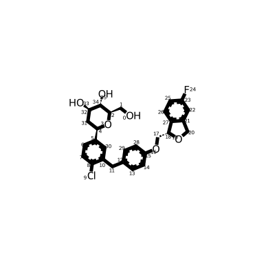 OC[C@H]1O[C@@H](c2ccc(Cl)c(Cc3ccc(OC[C@H]4OCc5cc(F)ccc54)cc3)c2)C[C@@H](O)[C@@H]1O